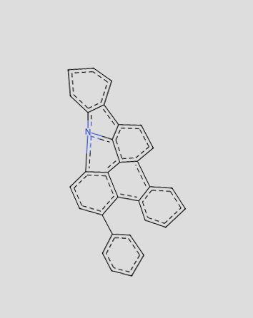 c1ccc(-c2ccc3c4c2c2ccccc2c2ccc5c6ccccc6n3c5c24)cc1